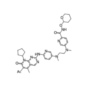 CC(=O)c1c(C)c2cnc(Nc3ccc(N(C)CCN(C)c4ccc(C(=O)NOC5CCCCO5)nc4)cn3)nc2n(C2CCCC2)c1=O